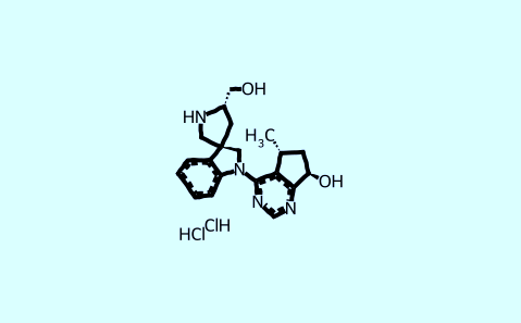 C[C@@H]1C[C@@H](O)c2ncnc(N3C[C@]4(CN[C@H](CO)C4)c4ccccc43)c21.Cl.Cl